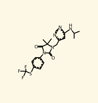 CC(C)Nc1cc(CN2C(=O)N(c3ccc(SC(F)(F)F)cc3)C(=O)C2(C)C)ncn1